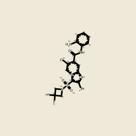 CC(C)c1nc2cc(C(=O)Nc3ccccc3N)c(Cl)cn2c1S(=O)(=O)N1CC(F)(F)C1